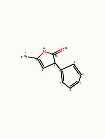 CCCC1=CC(c2ccccc2)C(=O)O1